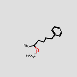 CCCCC(CCCCc1ccccc1)OC(=O)O